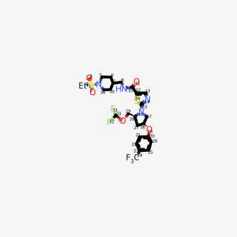 CCS(=O)(=O)N1CCC(CNC(=O)c2cnc(N3C[C@@H](Oc4ccc(C(F)(F)F)cc4)C[C@H]3COC(F)F)s2)CC1